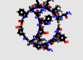 CCCC[C@H]1C(=O)N(C)[C@@H](CCCC)C(=O)N[C@@H](CC(C)C)C(=O)N[C@H](C(=O)NCC(N)=O)CSCC(=O)N[C@@H](Cc2ccc(O)cc2)C(=O)N(C)[C@@H](C)C(=O)N[C@@H](CC(N)=O)C(=O)N2CCC[C@H]2C(=O)N[C@H]2CNCc3cccc(c3)B(O)OC(=O)Cn3cc(c4ccccc43)C[C@H](NC(=O)[C@H](CCN)NC(=O)[C@H](Cc3c[nH]c4ccccc34)NC(=O)[C@@H]3C[C@@H](O)CN3C(=O)[C@H](CC(C)C)NC2=O)C(=O)N1C